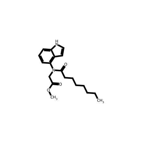 CCCCCCCC(=O)N(CC(=O)OC)c1cccc2[nH]ccc12